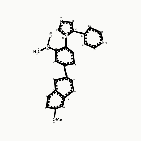 COc1ccc2cc(-c3ccc(-n4cncc4-c4ccncc4)c([S+](C)[O-])c3)ccc2c1